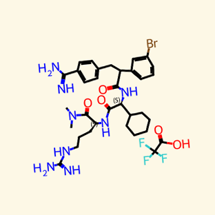 CN(C)C(=O)[C@H](CCCNC(=N)N)NC(=O)[C@@H](NC(=O)C(Cc1ccc(C(=N)N)cc1)c1cccc(Br)c1)C1CCCCC1.O=C(O)C(F)(F)F